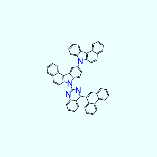 c1ccc2c(c1)cc(-c1nc(-n3c4ccc(-n5c6ccccc6c6c7ccccc7ccc65)cc4c4c5ccccc5ccc43)nc3ccccc13)c1ccccc12